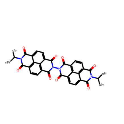 CCCC(CCC)N1C(=O)c2ccc3c4c(ccc(c24)C1=O)C(=O)N(N1C(=O)c2ccc4c5c(ccc(c25)C1=O)C(=O)N(C(CCC)CCC)C4=O)C3=O